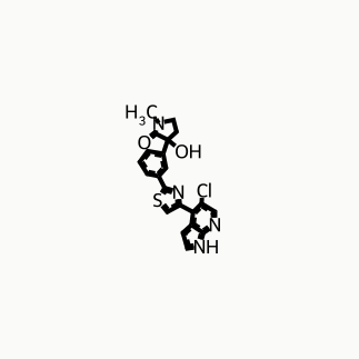 CN1CCC(O)(c2cccc(-c3nc(-c4c(Cl)cnc5[nH]ccc45)cs3)c2)C1=O